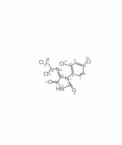 O=C1NC(=O)N(c2ccc(Cl)cc2Cl)C1=NC(Cl)C(Cl)(Cl)Cl